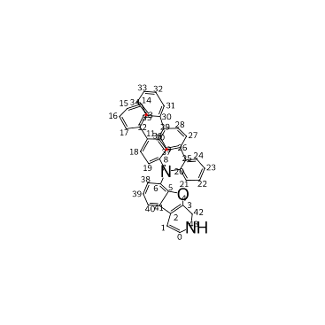 C1=Cc2c(oc3c(N(c4ccc(-c5ccccc5)cc4)c4ccccc4-c4ccc(-c5ccccc5)cc4)cccc23)CN1